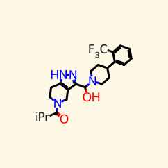 CC(C)C(=O)N1CCc2[nH]nc(C(O)N3CCC(c4ccccc4C(F)(F)F)CC3)c2C1